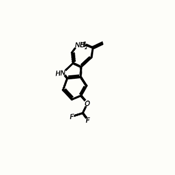 C=C(Cl)/C=c1\c(=C/N)[nH]c2ccc(OC(F)F)cc12